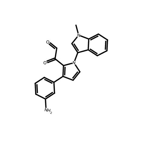 Cn1cc(-n2ccc(-c3cccc(N)c3)c2C(=O)C=O)c2ccccc21